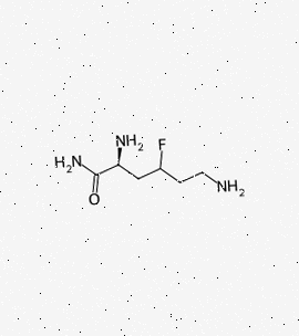 NCCC(F)C[C@H](N)C(N)=O